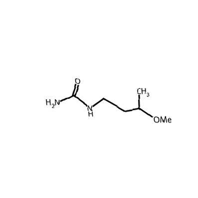 COC(C)CCNC(N)=O